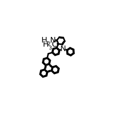 CC12C(=CC=CC1N)N(c1ccccc1)c1ccc(Cc3ccc4c5ccccc5c5ccccc5c4c3)cc12